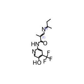 CC/C(C)=N/C=C(\C)C(=O)Nc1cc(C(F)(F)F)c(O)cn1